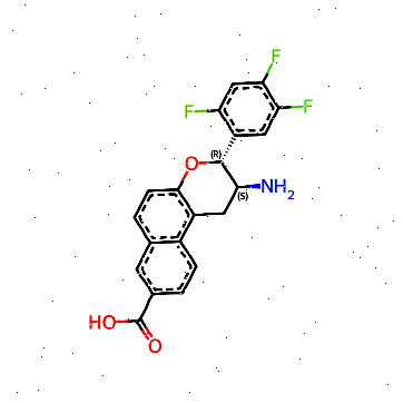 N[C@H]1Cc2c(ccc3cc(C(=O)O)ccc23)O[C@@H]1c1cc(F)c(F)cc1F